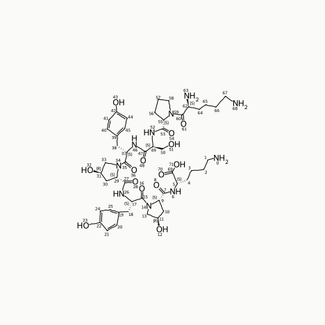 NCCCC[C@H](NC(=O)[C@@H]1C[C@@H](O)CN1C(=O)[C@H](Cc1ccc(O)cc1)NC(=O)[C@@H]1C[C@@H](O)CN1C(=O)[C@H](Cc1ccc(O)cc1)NC(=O)[C@H](CO)NC(=O)[C@@H]1CCCN1C(=O)[C@@H](N)CCCCN)C(=O)O